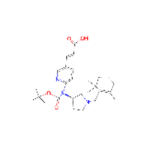 CC1=C(CN2CC[C@@H](N(C(=O)OC(C)(C)C)c3ccc(C=CC(=O)O)cn3)C2)C(C)(C)CCC1